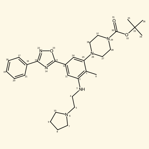 Cc1c(NCCN2CCCC2)cc(-c2nc(-c3ccccc3)no2)cc1N1CCN(C(=O)OC(C)(C)C)CC1